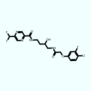 O=C(COc1ccc(Cl)c(F)c1)NCC(O)CCNC(=O)c1cnc(C(F)F)cn1